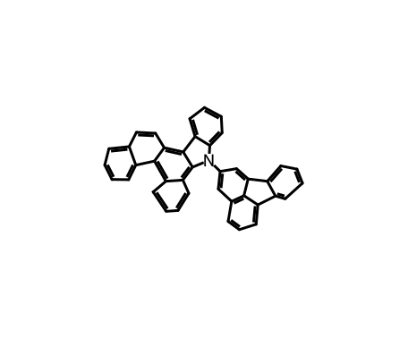 c1ccc2c(c1)-c1cccc3cc(-n4c5ccccc5c5c6ccc7ccccc7c6c6ccccc6c54)cc-2c13